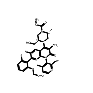 COCOc1cccc(F)c1-c1nc2c(cc1F)c(N1C[C@@H](C)N(C(=O)OC(C)(C)C)C[C@@H]1CO)c([N+](=O)[O-])c(=O)n2-c1c(C)ccnc1C(C)C